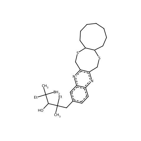 BC(C)(CC)C(O)C(C)(CC)Cc1ccc2nc3c(nc2c1)CSC1CCCCCCCC1SC3